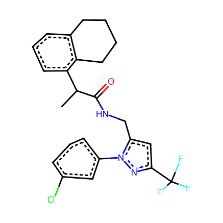 CC(C(=O)NCc1cc(C(F)(F)F)nn1-c1cccc(Cl)c1)c1cccc2c1CCCC2